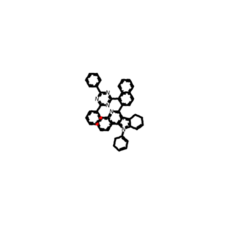 C1=CCCC(n2c3c(c4c(-c5ccc6ccccc6c5-c5nc(-c6ccccc6)nc(-c6ccccc6)n5)nc5ccccc5c42)CCC=C3)=C1